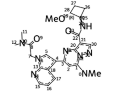 CNc1cc(-c2cn(CC(=O)N(C)C)c3ncccc23)nc2c(C(=O)N[C@@H]3CC[C@H]3OC)cnn12